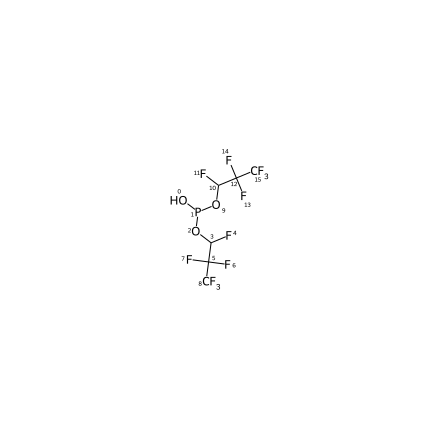 OP(OC(F)C(F)(F)C(F)(F)F)OC(F)C(F)(F)C(F)(F)F